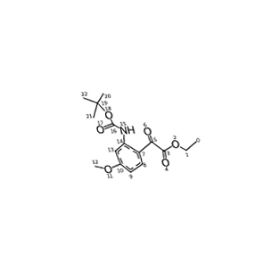 CCOC(=O)C(=O)c1ccc(OC)cc1NC(=O)OC(C)(C)C